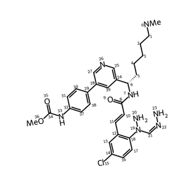 CNCCCCC[C@H](NC(=O)/C=C/c1cc(Cl)ccc1N(N)/C=N\N)c1cncc(-c2ccc(NC(=O)OC)cc2)c1